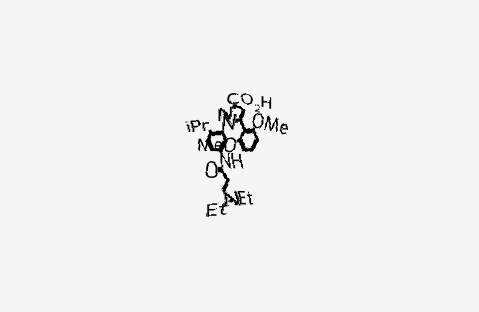 CCN(CC)CCC(=O)Nc1ccc(C(C)C)c(-n2nc(C(=O)O)cc2-c2c(OC)cccc2OC)c1